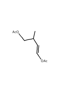 CC(=O)OC=CC(C)COC(C)=O